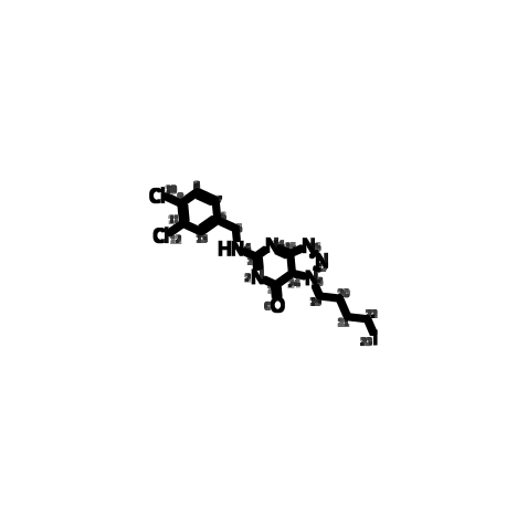 O=C1N=C(NCc2ccc(Cl)c(Cl)c2)N=C2N=NN(CCCCI)C12